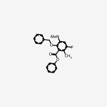 CNc1cc(F)c(C)c(C(=O)Oc2ccccc2)c1OCc1ccccc1